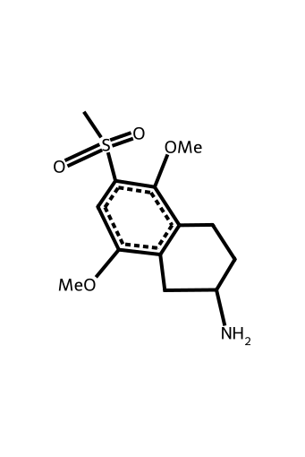 COc1cc(S(C)(=O)=O)c(OC)c2c1CC(N)CC2